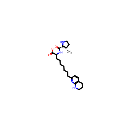 C[C@H]1CCN[C@@H]1C(=O)NC(CCCCCCCc1ccc2c(n1)NCCC2)C(=O)O